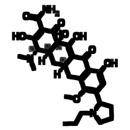 CCCN1CCCC1c1cc(O)c2c(c1OC)C[C@H]1C[C@H]3[C@H](N(C)C)C(O)=C(C(N)=O)C(=O)[C@@]3(O)C(O)=C1C2=O